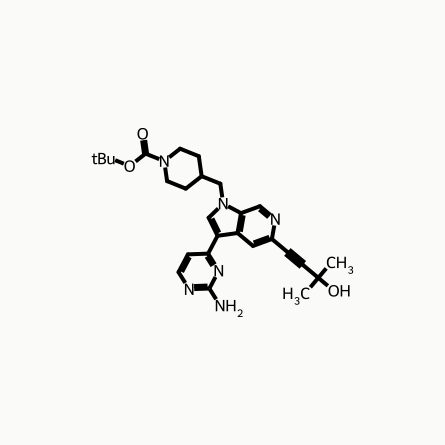 CC(C)(O)C#Cc1cc2c(-c3ccnc(N)n3)cn(CC3CCN(C(=O)OC(C)(C)C)CC3)c2cn1